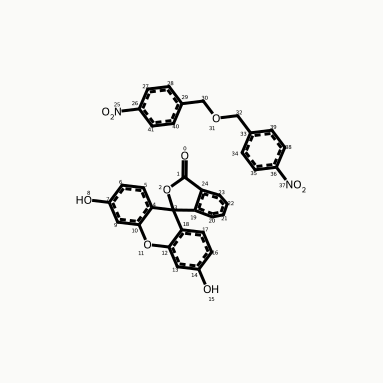 O=C1OC2(c3ccc(O)cc3Oc3cc(O)ccc32)c2ccccc21.O=[N+]([O-])c1ccc(COCc2ccc([N+](=O)[O-])cc2)cc1